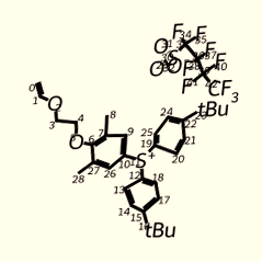 C=COCCOc1c(C)cc([S+](c2ccc(C(C)(C)C)cc2)c2ccc(C(C)(C)C)cc2)cc1C.O=S(=O)([O-])C(F)(F)C(F)(F)C(F)(F)C(F)(F)F